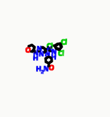 NC(=O)C1CCC(n2c(Nc3c(Cl)cc(Cl)cc3Cl)nc3cnc(N[C@@H]4CCCOC4)nc32)CC1